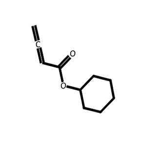 C=C=CC(=O)OC1CCCCC1